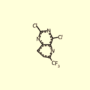 FC(F)(F)c1ccc2nc(Cl)nc(Cl)c2n1